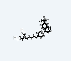 CCN(CC)CCCCCC1CCN(c2ccnc3cc(C(F)(I)I)ccc23)CC1